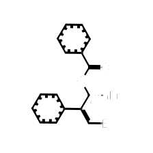 CCC=C(c1ccccc1)[C@@H](CCC)OC(=O)c1ccccc1